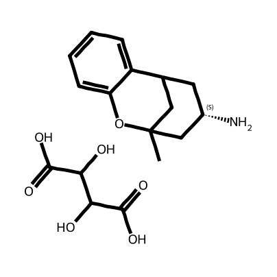 CC12CC(C[C@H](N)C1)c1ccccc1O2.O=C(O)C(O)C(O)C(=O)O